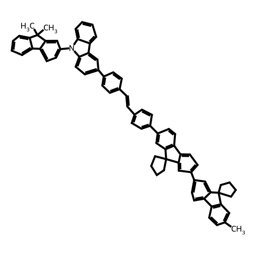 Cc1ccc2c(c1)C1(CCCC1)c1cc(-c3ccc4c(c3)C3(CCCC3)c3cc(-c5ccc(/C=C/c6ccc(-c7ccc8c(c7)c7ccccc7n8-c7ccc8c(c7)C(C)(C)c7ccccc7-8)cc6)cc5)ccc3-4)ccc1-2